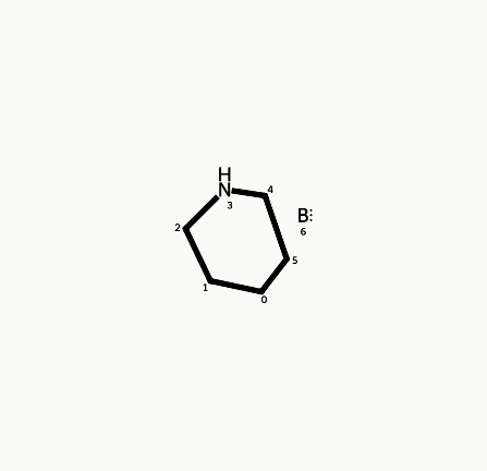 C1CCNCC1.[B]